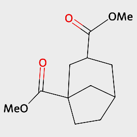 COC(=O)C1CC2CCC(C(=O)OC)(C2)C1